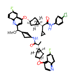 COC(c1cc(O[C@@H]2C[C@@H]3[C@H](C2)[C@H]3C(C(=O)Nc2ccc(Cl)cc2)C2CC2)c2cc(F)ccc2n1)C12CC(NC(=O)C(C)[C@H]3[C@@H]4C[C@@H](Oc5ccnc6ccc(F)cc56)C[C@@H]43)(C1)C2